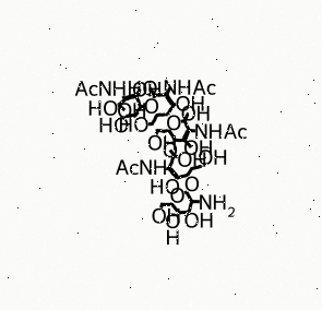 CC(=O)N/C(=C(\O)C(CCO)OC(O)/C(NC(C)=O)=C(/O)C(CCO)OC(O)/C(NC(C)=O)=C(/O)C(CCO)OC(O)/C(NC(C)=O)=C(/O)C(CCO)OC1OC(CO)C(O)C(O)C1N)C(O)O